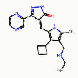 CCNCc1c(C)[nH]c(C=C2C(=O)NN=C2c2cnccn2)c1C1CCC1